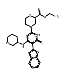 CCOC(=O)C1CN(c2nc(N[C@@H]3CCCNC3)c(-c3nc4ccccc4s3)c(=O)[nH]2)CCO1